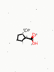 O=C(O)C1CCCC1.[Co]